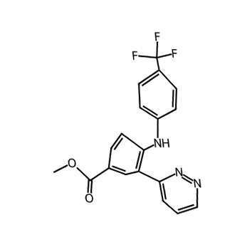 COC(=O)c1ccc(Nc2ccc(C(F)(F)F)cc2)c(-c2cccnn2)c1